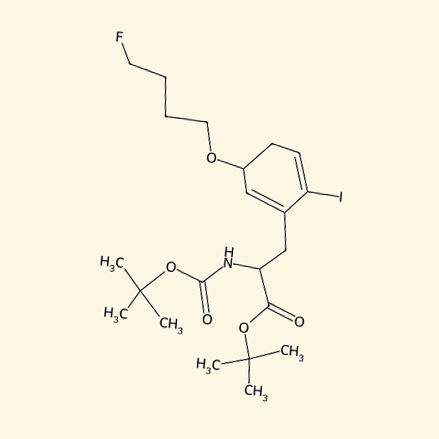 CC(C)(C)OC(=O)NC(CC1=CC(OCCCCF)CC=C1I)C(=O)OC(C)(C)C